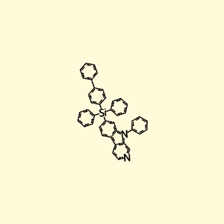 c1ccc(-c2ccc([Si](c3ccccc3)(c3ccccc3)c3ccc4c5ccncc5n(-c5ccccc5)c4c3)cc2)cc1